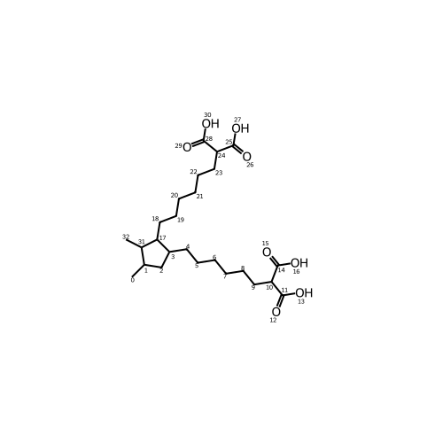 CC1CC(CCCCCCC(C(=O)O)C(=O)O)C(CCCCCCC(C(=O)O)C(=O)O)C1C